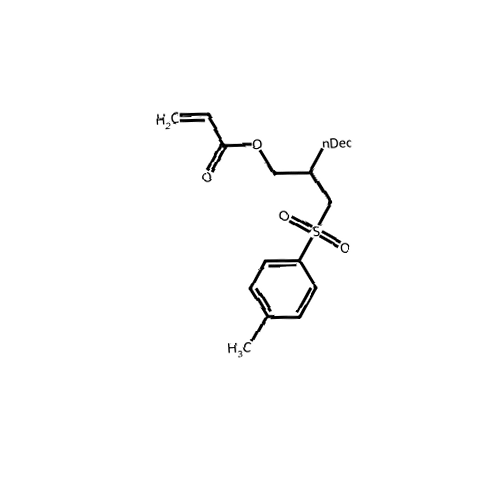 C=CC(=O)OCC(CCCCCCCCCC)CS(=O)(=O)c1ccc(C)cc1